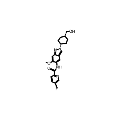 COc1cc2nn([C@H]3CC[C@H](CO)CC3)cc2cc1NC(=O)c1ccc(F)cn1